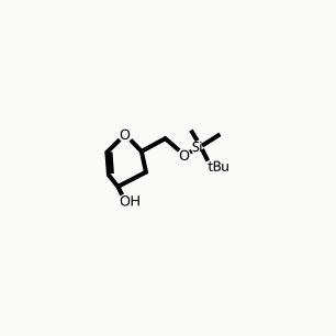 CC(C)(C)[Si](C)(C)OCC1CC(O)C=CO1